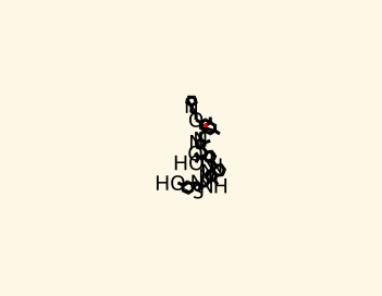 Cc1c(Nc2nc3cc(O)ccc3s2)nnc2c1CCCN2c1ccc(-c2cnn(CC34CC5(C)CC(C)(C3)CC(OCCN3CCCC3)(C5)C4)c2C)c(C(=O)O)n1